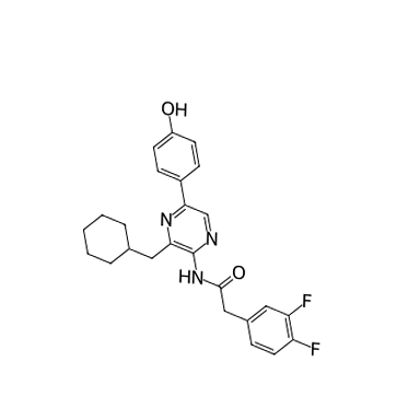 O=C(Cc1ccc(F)c(F)c1)Nc1ncc(-c2ccc(O)cc2)nc1CC1CCCCC1